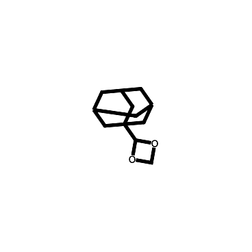 C1OC(C23CC4CC(CC(C4)C2)C3)O1